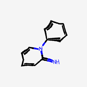 N=c1ccccn1-c1ccccc1